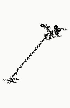 COc1ccc(C(OC[C@H]2O[C@@H](n3cnc4c(NC(=O)c5ccccc5)ncnc43)[C@H](OCc3cn(CCOCCOCCOCCOCCOCCOCCOCCOCCOCCOCCOCCNC(=O)CCCCOC4OC(COC(C)=O)C(OC(C)=O)C(OC(C)=O)C4NC(C)=O)nn3)[C@@H]2OP(OCCC#N)N(C(C)C)C(C)C)(c2ccccc2)c2ccc(OC)cc2)cc1